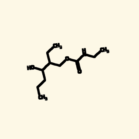 CCCC(O)C(CC)COC(=O)NCC